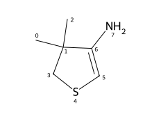 CC1(C)CSC=C1N